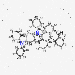 Cc1ccccc1-c1c2ccccc2c(N(c2ccccc2)c2ccc3c(c2)c2ccccc2n3-c2ccccc2)c2ccccc12